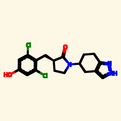 O=C1[C@H](Cc2c(Cl)cc(O)cc2Cl)CCN1C1CCc2n[nH]cc2C1